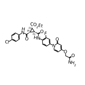 CCOC(=O)[C@H]1[C@H](C(=O)Nc2ccc(Cl)cc2)[C@@H]1C(=O)Nc1ccc(-n2ccc(OCC(N)=O)cc2=O)cc1F